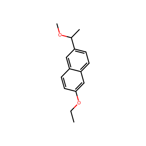 CCOc1ccc2cc(C(C)OC)ccc2c1